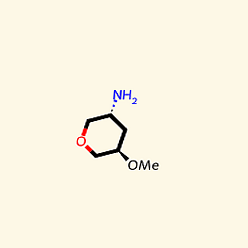 CO[C@H]1COC[C@H](N)C1